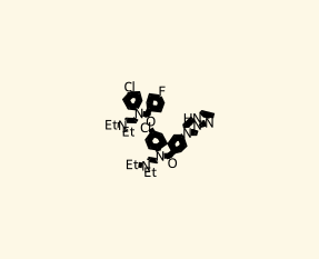 CCN(CC)CCN(C(=O)c1ccc(-n2ccnc2)cc1)c1ccc(Cl)cc1.CCN(CC)CCN(C(=O)c1ccc(F)cc1)c1ccc(Cl)cc1.c1c[nH]cn1